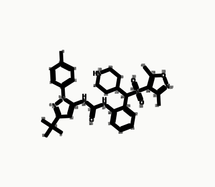 Cc1ccc(-n2nc(C(C)(C)C)cc2NC(=O)Nc2ccccc2C(C2CCNCC2)S(=O)(=O)c2c(C)noc2C)cc1